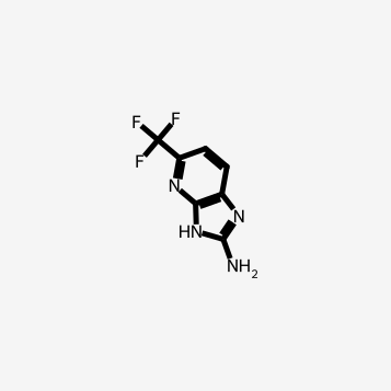 Nc1nc2ccc(C(F)(F)F)nc2[nH]1